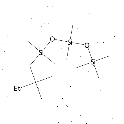 CCC(C)(C)C[Si](C)(C)O[Si](C)(C)O[Si](C)(C)C